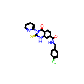 O=C(NCc1ccc(Cl)cc1)c1ccc2c(=O)n(-c3ccccn3)c(=S)[nH]c2c1